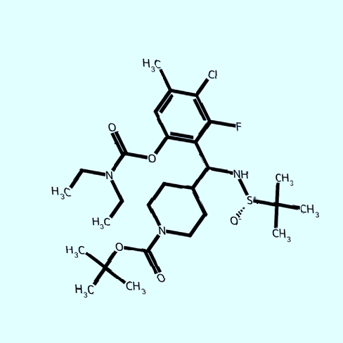 CCN(CC)C(=O)Oc1cc(C)c(Cl)c(F)c1C(N[S@@+]([O-])C(C)(C)C)C1CCN(C(=O)OC(C)(C)C)CC1